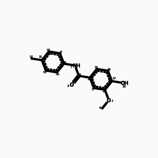 COc1cc(C(=O)Nc2ccc(C)cc2)ccc1O